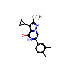 Cc1ccc(-c2cn3nc(C(=O)O)c(C4CC4)c3c(=O)[nH]2)cc1C